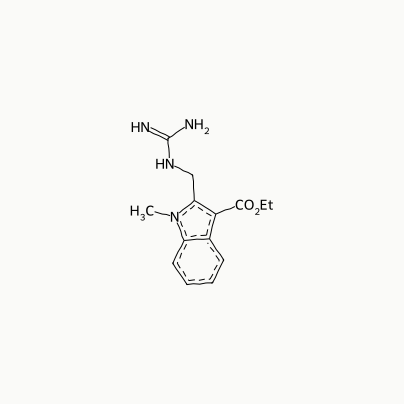 CCOC(=O)c1c(CNC(=N)N)n(C)c2ccccc12